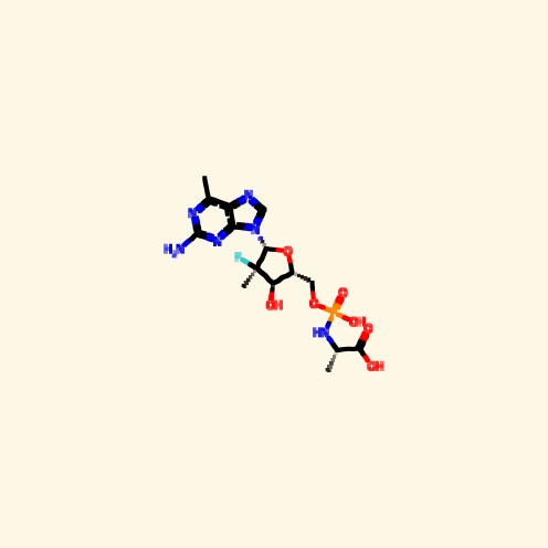 Cc1nc(N)nc2c1ncn2[C@@H]1O[C@H](COP(=O)(O)N[C@@H](C)C(=O)O)[C@@H](O)[C@@]1(C)F